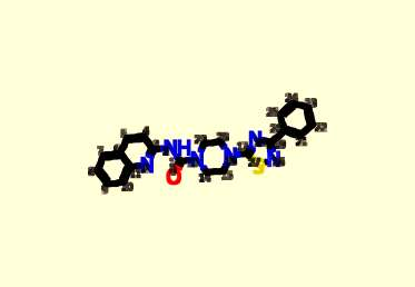 O=C(Nc1ccc2ccccc2n1)N1CCN(c2nc(-c3ccccc3)ns2)CC1